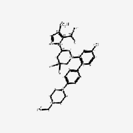 CC(C)CN1CCN(c2ccc(-c3ccc(Cl)cc3N3CC(n4ncc(C(=O)O)c4C(F)F)CC(F)(F)C3)cc2)CC1